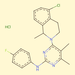 Cc1nc(Nc2ccc(F)cc2)nc(N2CCc3c(Cl)cccc3C2C)c1C.Cl